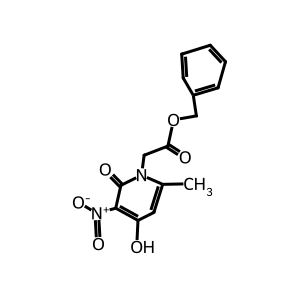 Cc1cc(O)c([N+](=O)[O-])c(=O)n1CC(=O)OCc1ccccc1